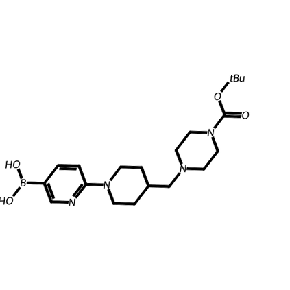 CC(C)(C)OC(=O)N1CCN(CC2CCN(c3ccc(B(O)O)cn3)CC2)CC1